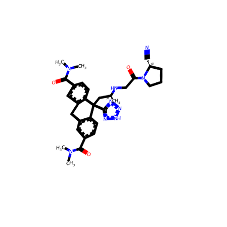 C[C@H](CC1(c2nn[nH]n2)c2ccc(C(=O)N(C)C)cc2Cc2cc(C(=O)N(C)C)ccc21)NCC(=O)N1CCC[C@H]1C#N